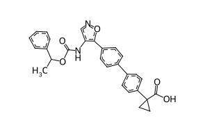 CC(OC(=O)Nc1cnoc1-c1ccc(-c2ccc(C3(C(=O)O)CC3)cc2)cc1)c1ccccc1